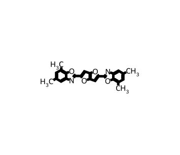 Cc1cc(C)c2oc(-c3cc4oc(-c5nc6cc(C)cc(C)c6o5)cc4o3)nc2c1